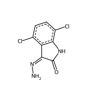 N/N=C1\C(=O)Nc2c(Cl)ccc(Cl)c21